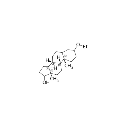 CCOC1CC[C@@]2(C)C(CC[C@@H]3[C@H]2CC[C@]2(C)C(O)CC[C@@H]32)C1